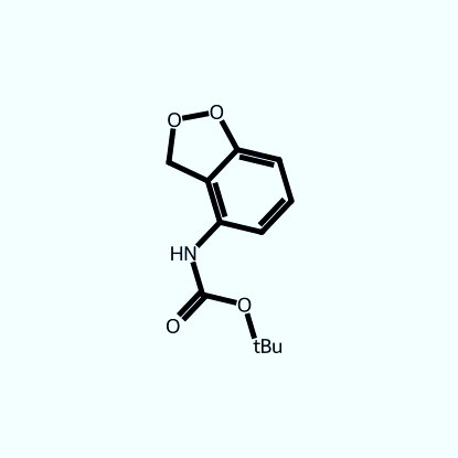 CC(C)(C)OC(=O)Nc1cccc2c1COO2